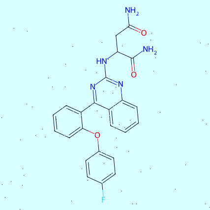 NC(=O)CC(Nc1nc(-c2ccccc2Oc2ccc(F)cc2)c2ccccc2n1)C(N)=O